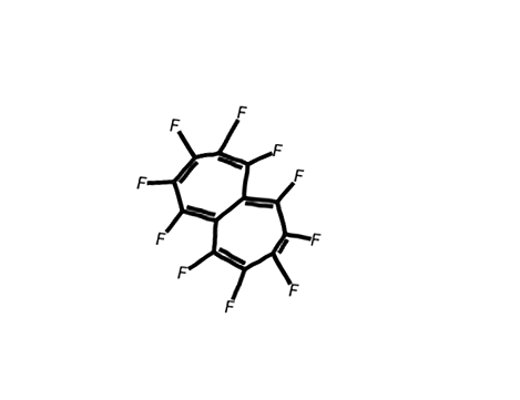 FC1=C(F)C(F)=C2C(F)=C(F)C(F)=C(F)C(F)=C2C(F)=C1F